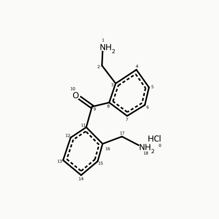 Cl.NCc1ccccc1C(=O)c1ccccc1CN